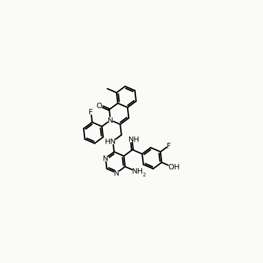 Cc1cccc2cc(CNc3ncnc(N)c3C(=N)c3ccc(O)c(F)c3)n(-c3ccccc3F)c(=O)c12